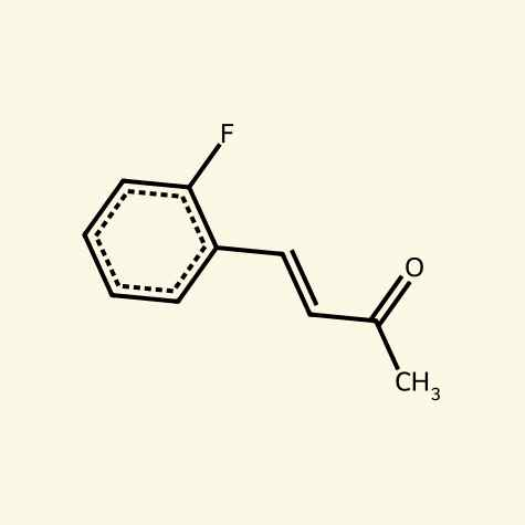 CC(=O)C=Cc1ccccc1F